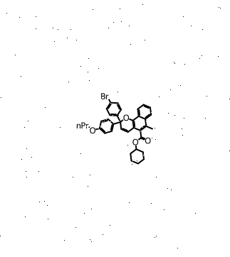 CCCOc1ccc(C2(c3ccc(Br)cc3)C=Cc3c(C(=O)OC4CCCCC4)c(C)c4ccccc4c3O2)cc1